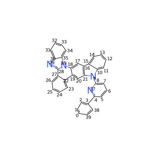 c1ccc(-c2cccc(-n3c4ccccc4c4cc5c(cc43)c3ccccc3c3nc4ccccc4n53)n2)cc1